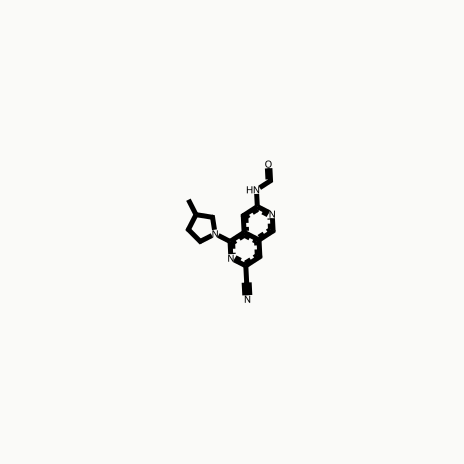 CC1CCN(c2nc(C#N)cc3cnc(NC=O)cc23)C1